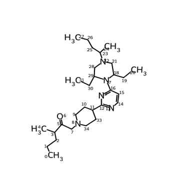 CCCC(C)C(=O)CN1CCC(c2nccc(N3C(CC)CN(C(C)CCC)CC3CC)n2)CC1